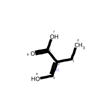 CC/C(=C/O)C(=O)O